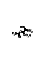 CCCCC(N)C(OC(=O)C(F)(F)F)C(=O)O